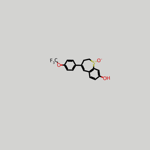 [O-][S+]1CCC(c2ccc(OC(F)(F)F)cc2)=Cc2ccc(O)cc21